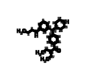 CCCNc1cccc([C@H](c2ccc(C(=O)N(CC)CC)cc2)N2CCNCC2)c1